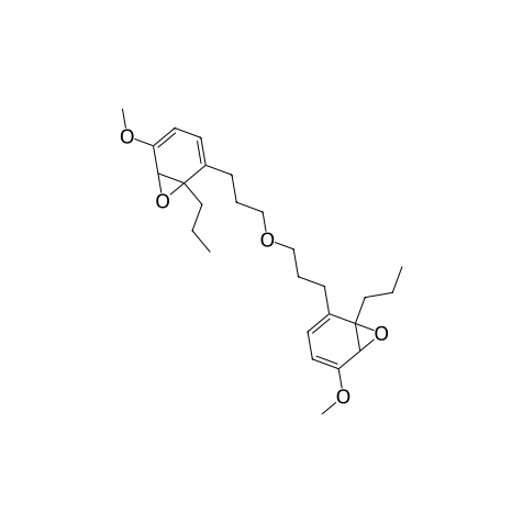 CCCC12OC1C(OC)=CC=C2CCCOCCCC1=CC=C(OC)C2OC12CCC